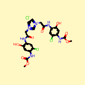 COC(=O)Nc1cc(O)c(NC(=O)Cn2cc[n+](CC(=O)Nc3cc(Cl)c(NC(=O)OC)cc3O)c2)cc1Cl.[Cl-]